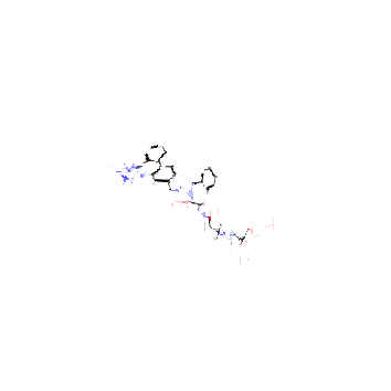 CC(C)(CC(=O)N[C@@H]1Sc2ccccc2CN(Cc2ccc(-c3ccccc3-c3nnn[nH]3)cc2)C1=O)NC[C@H](O)CO